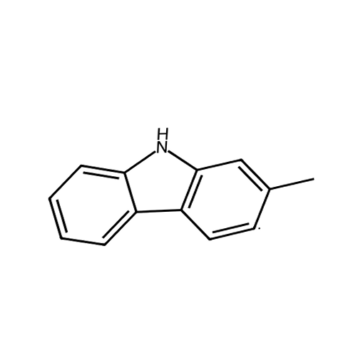 Cc1[c]cc2c(c1)[nH]c1ccccc12